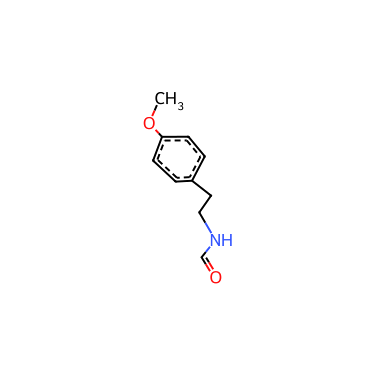 COc1ccc(CCNC=O)cc1